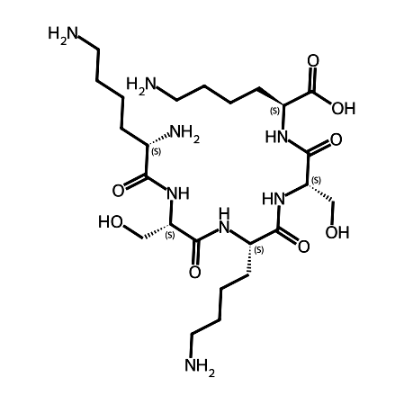 NCCCC[C@H](NC(=O)[C@H](CO)NC(=O)[C@H](CCCCN)NC(=O)[C@H](CO)NC(=O)[C@@H](N)CCCCN)C(=O)O